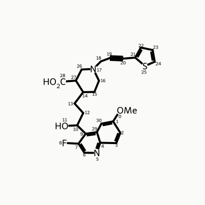 COc1ccc2ncc(F)c(C(O)CCC3CCN(CC#Cc4cccs4)CC3C(=O)O)c2c1